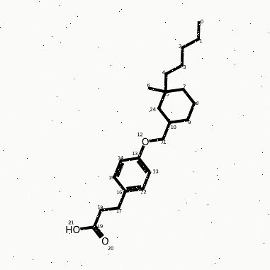 CCCCCC1(C)CCCC(COc2ccc(CCC(=O)O)cc2)C1